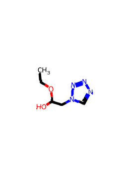 CCOC(O)Cn1[c]nnn1